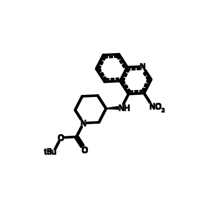 CC(C)(C)OC(=O)N1CCC[C@@H](Nc2c([N+](=O)[O-])cnc3ccccc23)C1